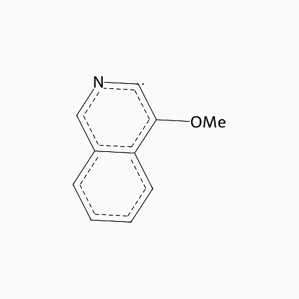 COc1[c]ncc2ccccc12